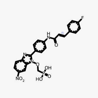 O=C(/C=C/c1ccc(F)cc1)Nc1ccc(-c2nc3ccc([N+](=O)[O-])cc3n2OCP(=O)(O)O)cc1